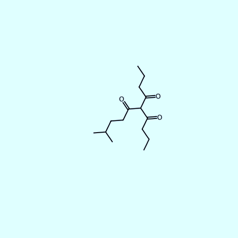 CCCC(=O)C(C(=O)CCC)C(=O)CCC(C)C